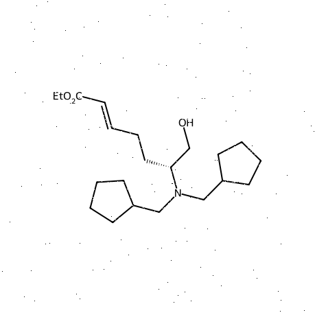 CCOC(=O)C=CCC[C@H](CO)N(CC1CCCC1)CC1CCCC1